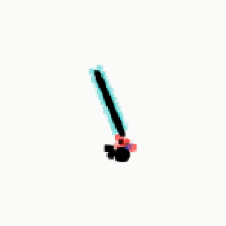 CCC(C)c1cccc([N+](=O)[O-])c1OC(=O)OCC(F)(F)C(F)(F)C(F)(F)C(F)(F)C(F)(F)C(F)(F)C(F)(F)C(F)(F)C(F)(F)C(F)(F)C(F)(F)C(F)(F)C(F)(F)C(F)F